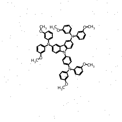 COc1cccc(N(c2ccc(-n3c4ccc(N(c5cccc(OC)c5)c5cccc(OC)c5)cc4c4cc(N(c5cccc(OC)c5)c5cccc(OC)c5)ccc43)cc2)c2cccc(OC)c2)c1